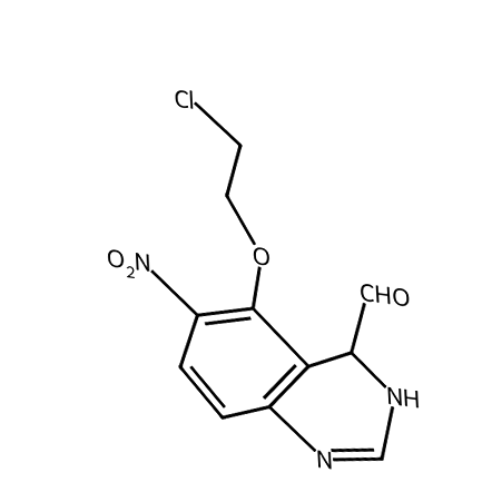 O=CC1NC=Nc2ccc([N+](=O)[O-])c(OCCCl)c21